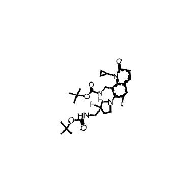 CC(C)(C)OC(=O)NCc1c(N2CCC(F)(CNC(=O)OC(C)(C)C)C2)c(F)cc2ccc(=O)n(C3CC3)c12